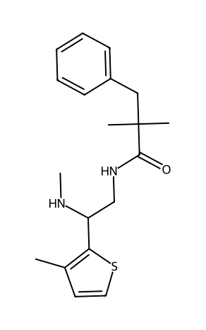 CNC(CNC(=O)C(C)(C)Cc1ccccc1)c1sccc1C